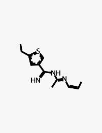 C/C=C\N=C(/C)NC(=N)c1csc(CC)c1